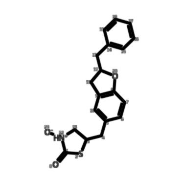 O=C1SC(Cc2ccc3c(c2)CC(Cc2ccccc2)O3)C[NH+]1[O-]